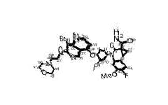 COc1cc(N(C(=O)C2(C(N)=O)CC2)c2ccc(Oc3ccnc4c(Br)c(OCCN5CCOCC5)ncc34)c(F)c2)ccc1F